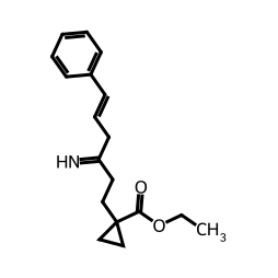 CCOC(=O)C1(CCC(=N)CC=Cc2ccccc2)CC1